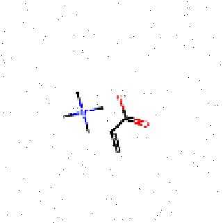 C=CC(=O)[O-].C[N+](C)(C)C